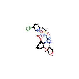 COc1cccc(OC)c1-n1c(NS(=O)(=O)[C@@H](C)[C@H](C)c2ccc(Cl)cn2)nnc1[C@H]1CCOC1